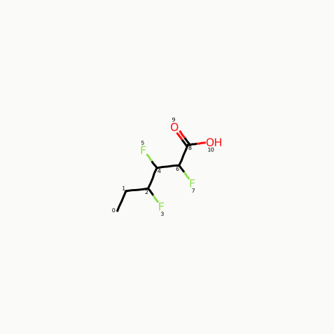 CCC(F)C(F)C(F)C(=O)O